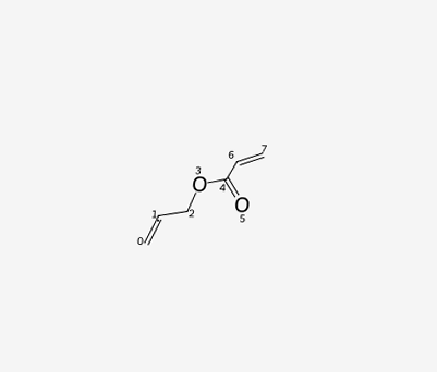 C=[C]COC(=O)C=C